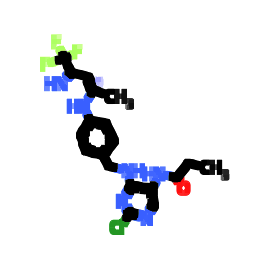 CCC(=O)Nc1cnc(Cl)nc1NCc1ccc(N/C(C)=C\C(=N)C(F)(F)F)cc1